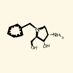 N[C@H]1CN(Cc2ccccc2)[C@H](CO)[C@H]1O